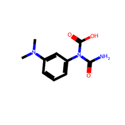 CN(C)c1[c]c(N(C(N)=O)C(=O)O)ccc1